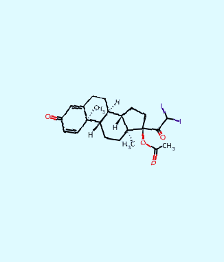 CC(=O)O[C@]1(C(=O)C(I)I)CC[C@H]2[C@@H]3CCC4=CC(=O)C=C[C@]4(C)[C@H]3CC[C@@]21C